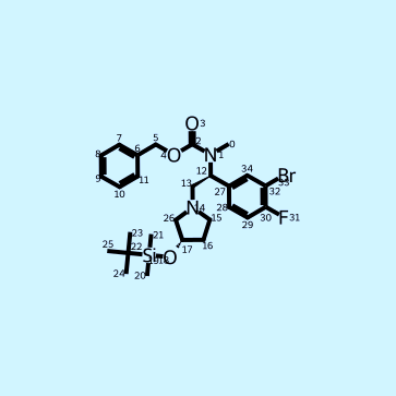 CN(C(=O)OCc1ccccc1)[C@H](CN1CC[C@H](O[Si](C)(C)C(C)(C)C)C1)c1ccc(F)c(Br)c1